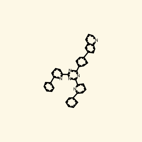 c1ccc(-c2cccc(-c3nc(-c4ccc(-c5ccc6ncccc6c5)cc4)nc(-c4cccc(-c5ccccc5)n4)n3)n2)cc1